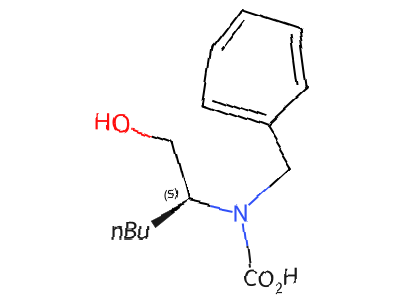 CCCC[C@@H](CO)N(Cc1ccccc1)C(=O)O